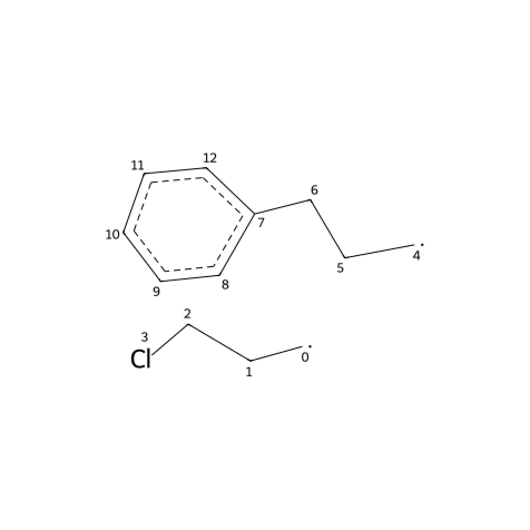 [CH2]CCCl.[CH2]CCc1ccccc1